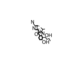 CCCC(O)c1c(O)ccc2c(=O)n(-c3ccc(C#N)nc3)c(C(C)C)nc12